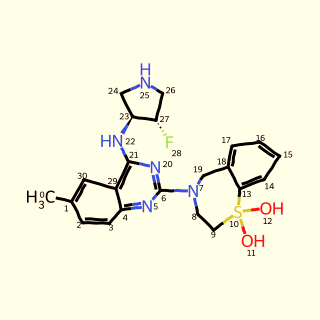 Cc1ccc2nc(N3CCS(O)(O)c4ccccc4C3)nc(N[C@H]3CNC[C@@H]3F)c2c1